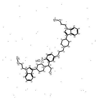 CCOCCn1cc(C2CCN(CCOc3ccc(C(=O)O)c(C(C[O])N4CCC(c5cn(CCOCC)c6ccccc56)CC4)c3)CC2)c2ccccc21